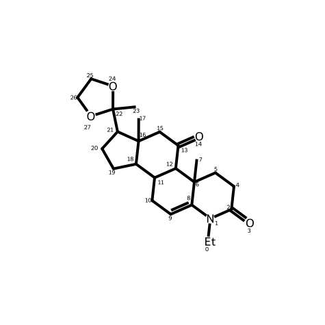 CCN1C(=O)CCC2(C)C1=CCC1C2C(=O)CC2(C)C1CCC2C1(C)OCCO1